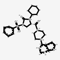 O=C([C@@H]1CN(S(=O)(=O)c2ccccc2)C(=O)N1C1CCCCC1)N1CCN(c2nccc3sccc23)CC1